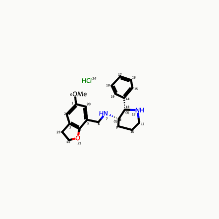 COc1cc2c(c(CN[C@H]3CCCN[C@H]3c3ccccc3)c1)OCC2.Cl